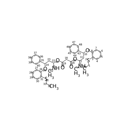 CCSc1ccccc1OC(CC(NC)OC(=O)CC(=O)OC(CC(Oc1ccccc1SCC)c1ccccc1)NC)c1ccccc1